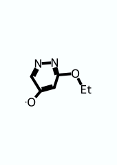 CCOc1cc([O])cnn1